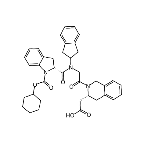 O=C(O)C[C@H]1Cc2ccccc2CN1C(=O)CN(C(=O)[C@H]1Cc2ccccc2N1C(=O)OC1CCCCC1)C1Cc2ccccc2C1